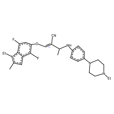 CCN1CCN(c2ccc(NC(C)/C(C#N)=C/Oc3cc(F)c4c(cc(C)n4CC)c3F)cc2)CC1